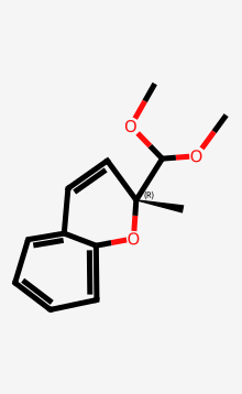 COC(OC)[C@@]1(C)C=Cc2ccccc2O1